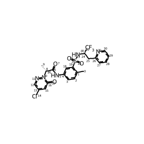 Cc1ccc(NC(=O)[C@@H](C)n2ncc(Cl)cc2=O)cc1S(=O)(=O)N[C@H](Cc1ccccn1)C(F)(F)F